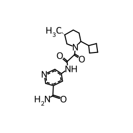 C[C@@H]1CCC(C2CCC2)N(C(=O)C(=O)Nc2cncc(C(N)=O)c2)C1